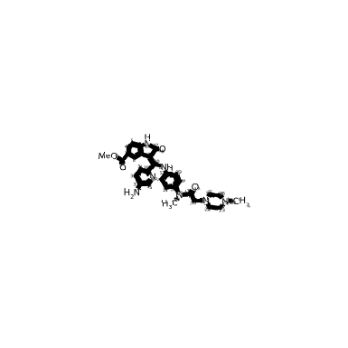 COC(=O)c1ccc2c(c1)/C(=C(/Nc1ccc(N(C)C(=O)CN3CCN(C)CC3)cc1)c1ccc(N)cn1)C(=O)N2